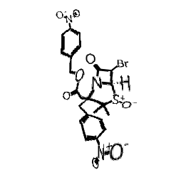 CC1(C)[S+]([O-])[C@@H]2C(Br)C(=O)N2[C@@]1(Cc1ccc([N+](=O)[O-])cc1)C(=O)OCc1ccc([N+](=O)[O-])cc1